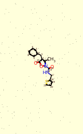 Cc1c(Cc2ccccc2)c(=O)on1C(=O)NCc1cccs1